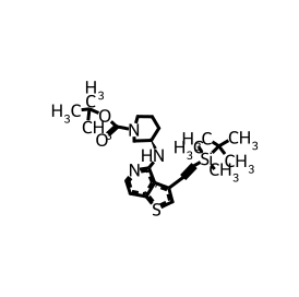 CC(C)(C)OC(=O)N1CCC[C@@H](Nc2nccc3scc(C#C[Si](C)(C)C(C)(C)C)c23)C1